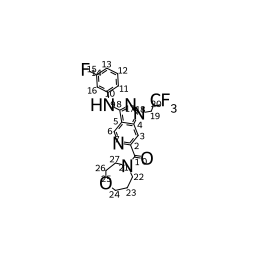 O=C(c1cc2c(cn1)c(Nc1cccc(F)c1)nn2CC(F)(F)F)N1CCCOCC1